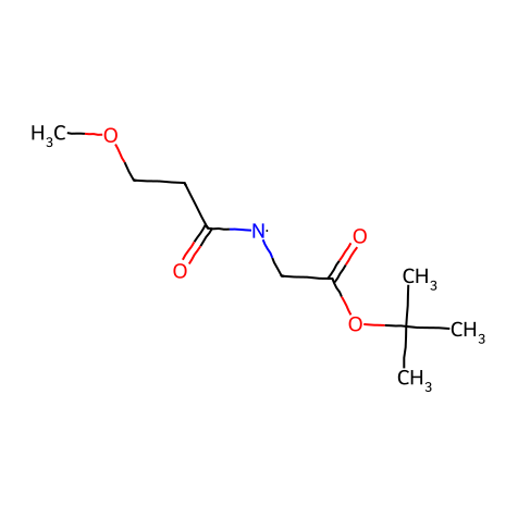 COCCC(=O)[N]CC(=O)OC(C)(C)C